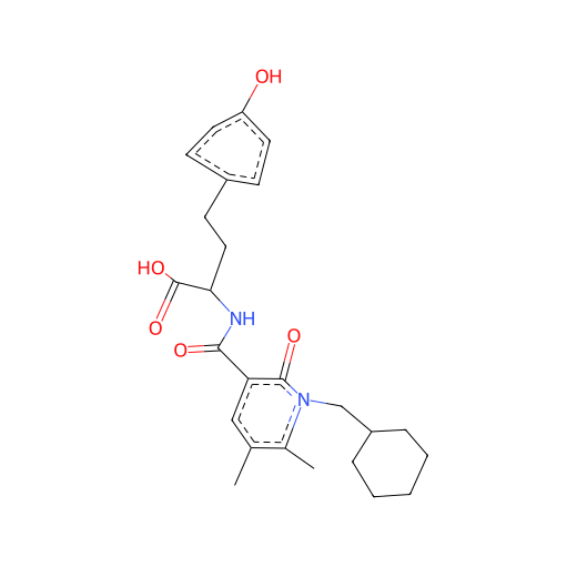 Cc1cc(C(=O)NC(CCc2ccc(O)cc2)C(=O)O)c(=O)n(CC2CCCCC2)c1C